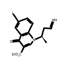 CCOC(=O)c1cn([C@H](C)CC=N)c2ccc(I)cc2c1=O